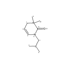 CC(C)CN1C=CCC(C)(C)C1=O